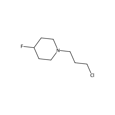 FC1CCN(CCCCl)CC1